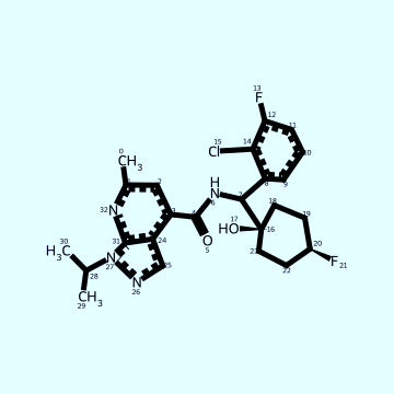 Cc1cc(C(=O)NC(c2cccc(F)c2Cl)[C@]2(O)CC[C@@H](F)CC2)c2cnn(C(C)C)c2n1